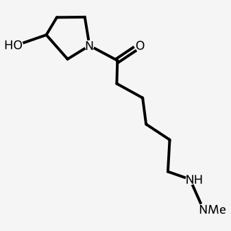 CNNCCCCCC(=O)N1CCC(O)C1